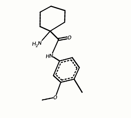 COc1cc(NC(=O)C2(N)CCCCC2)ccc1C